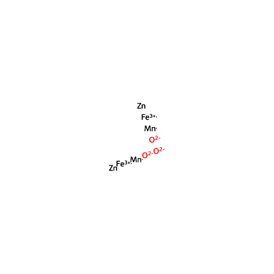 [Fe+3].[Fe+3].[Mn].[Mn].[O-2].[O-2].[O-2].[Zn].[Zn]